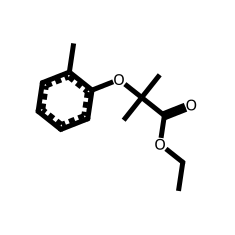 CCOC(=O)C(C)(C)Oc1ccccc1C